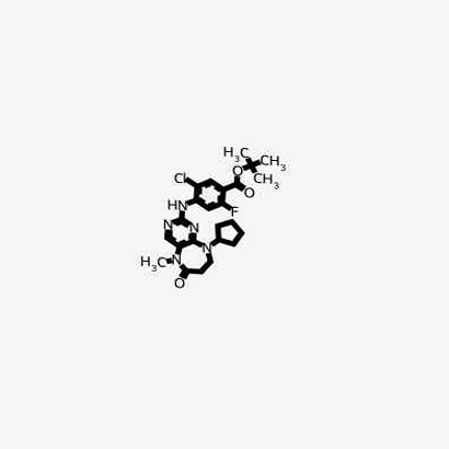 CN1C(=O)CCN(C2CCCC2)c2nc(Nc3cc(F)c(C(=O)OC(C)(C)C)cc3Cl)ncc21